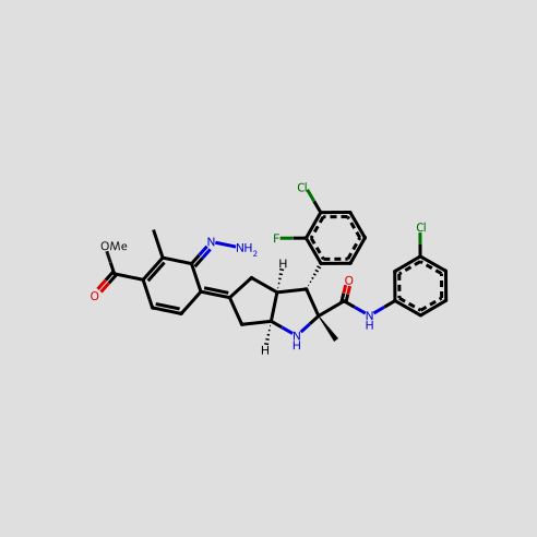 COC(=O)C1=C(C)C(=N/N)/C(=C2\C[C@@H]3[C@H](C2)N[C@@](C)(C(=O)Nc2cccc(Cl)c2)[C@H]3c2cccc(Cl)c2F)C=C1